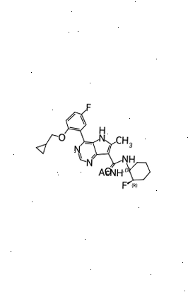 CC(=O)N[C@]1(NC(=O)c2c(C)[nH]c3c(-c4cc(F)ccc4OCC4CC4)ncnc23)CCCC[C@H]1F